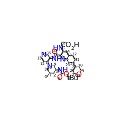 C[C@@H]1C[C@H](NC(=O)OC(C)(C)C)CN(c2ccncc2NC(=O)c2nc3cc(C4=CCOCC4)ccc3cc2NC(=O)O)C1